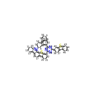 c1ccc(-c2ccc(-n3c4ccccc4c4ccc5c6cccc(-c7nc(-c8ccccc8)nc(-c8ccc9c(c8)sc8ccccc89)n7)c6sc5c43)cc2)cc1